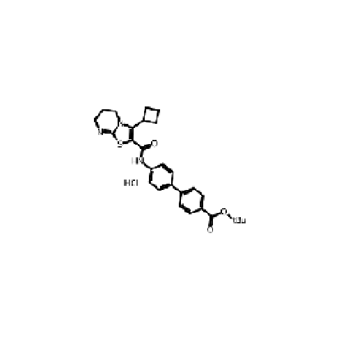 CC(C)(C)OC(=O)c1ccc(-c2ccc(NC(=O)C3=C(C4CCC4)N4CCCN=C4S3)cc2)cc1.Cl